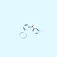 CNc1cncc(C(=O)c2cccc(N3CCCNCC3)n2)c1